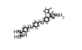 CC1CCCC1c1sc(N)nc1-c1ccc(OCc2ccc(COc3ccc(C(=N)NO)cc3)cc2)cc1